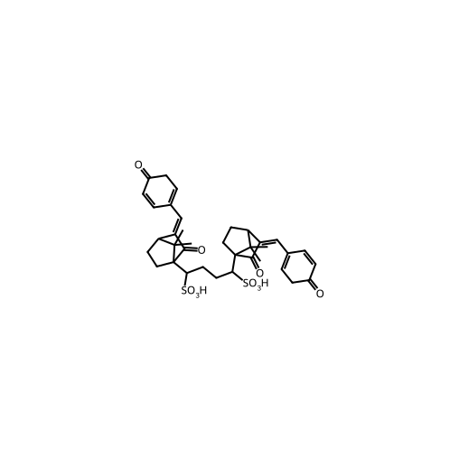 CC1(C)C2CCC1(C(CCC(C13CCC(C(=CC4=CCC(=O)C=C4)C1=O)C3(C)C)S(=O)(=O)O)S(=O)(=O)O)C(=O)C2=CC1=CCC(=O)C=C1